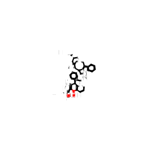 CC[C@]12C=CCN3CC[C@@]4(c5cc([C@@]6(C(=O)OC)C[C@H]7C[C@@H](C(C)(F)F)CN(Cc8c6[nH]c6ccccc86)C7)c(OC)cc5N[C@H]4[C@@](O)(C(=O)OC)[C@@H]1OC(C)=O)[C@@H]32